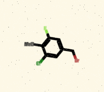 COc1c(F)cc(CBr)cc1Cl